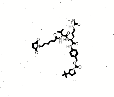 CC(C)[C@H](NC(=O)CCCCCN1C(=O)C=CC1=O)C(=O)N[C@@H](CCCNC(N)=O)C(=O)Nc1ccc(COC(=O)N2CCC(C(C)(C)C)C2)cc1